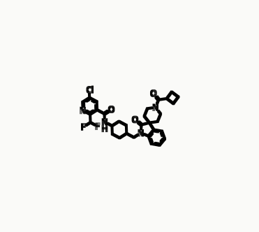 O=C(NC1CCC(CN2C(=O)C3(CCN(C(=O)C4CCC4)CC3)c3ccccc32)CC1)c1cc(Cl)cnc1C(F)F